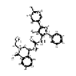 Cc1ncc(-c2nn(-c3ccccc3)c(NC(=O)NC3CN(CC(F)(F)F)C(=O)c4ccccc43)c2C)cn1